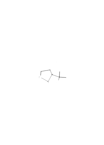 CC(F)(F)C1CCNC1.Cl